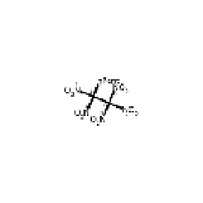 CCCCCC([N+](=O)[O-])([N+](=O)[O-])C([N+](=O)[O-])([N+](=O)[O-])[N+](=O)[O-]